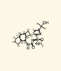 CC(C)(O)c1csc([S@@](N)(=O)=NC(=O)Nc2c3c(cc4c2CC4)CCC3)n1